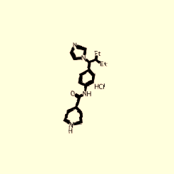 CCC(CC)C(c1ccc(NC(=O)C2CCNCC2)cc1)n1ccnc1.Cl